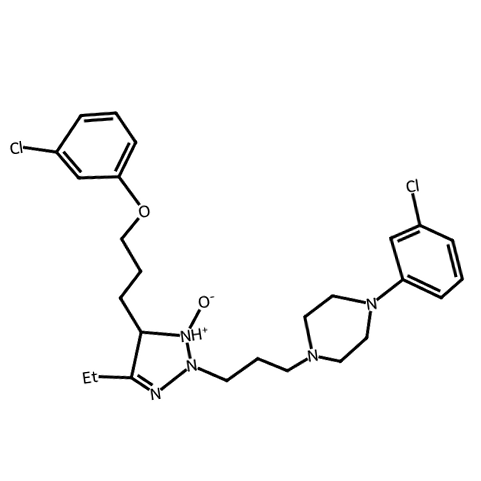 CCC1=NN(CCCN2CCN(c3cccc(Cl)c3)CC2)[NH+]([O-])C1CCCOc1cccc(Cl)c1